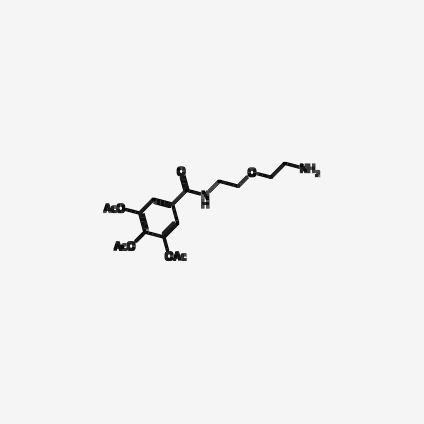 CC(=O)Oc1cc(C(=O)NCCOCCN)cc(OC(C)=O)c1OC(C)=O